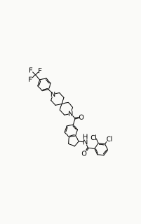 O=C(NC1CCc2ccc(C(=O)N3CCC4(CC3)CCN(c3ccc(C(F)(F)F)cc3)CC4)cc21)c1cccc(Cl)c1Cl